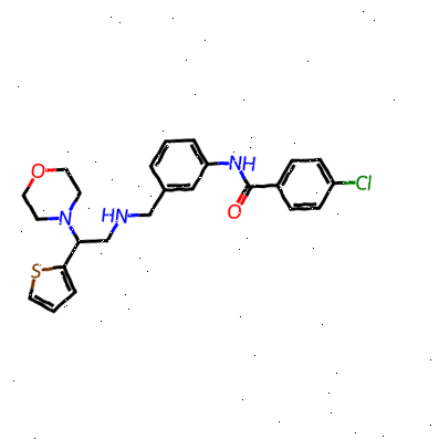 O=C(Nc1cccc(CNCC(c2cccs2)N2CCOCC2)c1)c1ccc(Cl)cc1